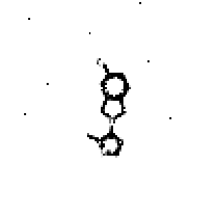 Cn1nccc1N1Cc2ccc(Cl)cc2C1